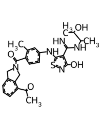 CC(=O)c1cccc2c1CN(C(=O)c1ccc(Nc3snc(O)c3C(=N)NC(C)C(C)O)cc1C)C2